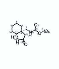 CC(C)(C)OC(=O)NC[C@@]12CCCC[C@@H]1NC(=O)C2